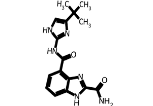 CC(C)(C)c1c[nH]c(NC(=O)c2cccc3[nH]c(C(N)=O)nc23)n1